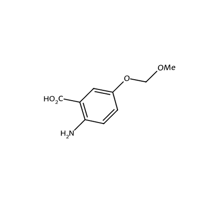 COCOc1ccc(N)c(C(=O)O)c1